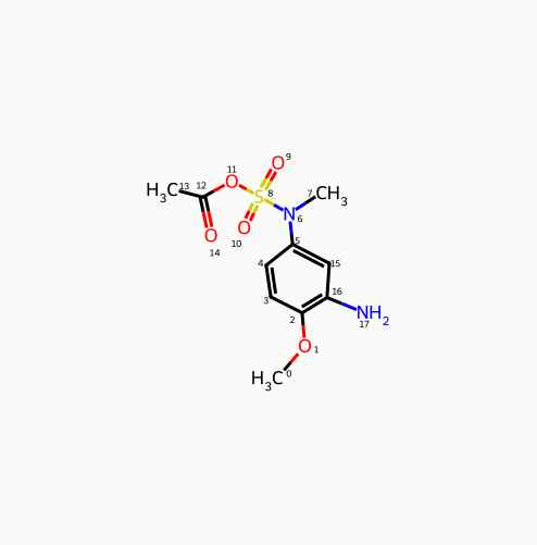 COc1ccc(N(C)S(=O)(=O)OC(C)=O)cc1N